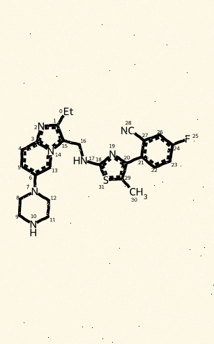 CCc1nc2ccc(N3CCNCC3)cn2c1CNc1nc(-c2ccc(F)cc2C#N)c(C)s1